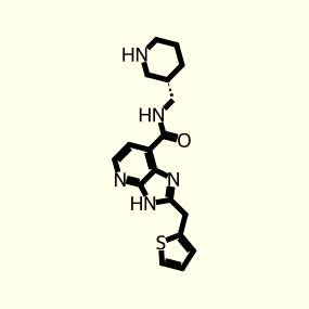 O=C(NC[C@H]1CCCNC1)c1ccnc2[nH]c(Cc3cccs3)nc12